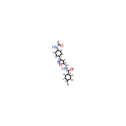 CC(=O)Nc1ccc(-c2cc(CNC(=O)c3ccc(C)cc3)on2)cc1